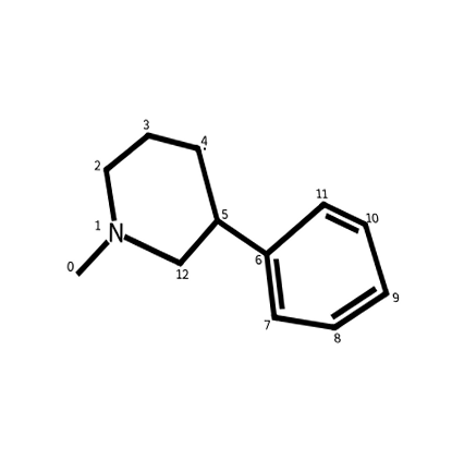 CN1CC[CH]C(c2ccccc2)C1